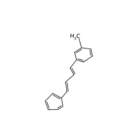 Cc1cccc(/C=C/C=C/c2ccccc2)c1